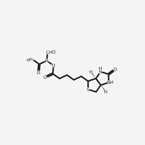 CCCC(=O)N(C=O)OC(=O)CCCCC1SC[C@@H]2NC(=O)N[C@H]12